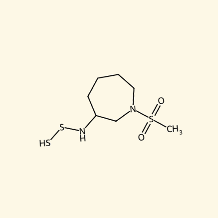 CS(=O)(=O)N1CCCCC(NSS)C1